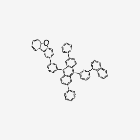 C1=CC2Oc3ccc(-c4cccc(-c5c6ccc(-c7ccccc7)cc6c(-c6cccc(-c7cccc8ccccc78)c6)c6ccc(-c7ccccc7)cc56)c4)cc3C2C=C1